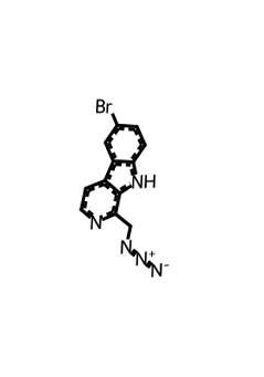 [N-]=[N+]=NCc1nccc2c1[nH]c1ccc(Br)cc12